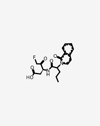 CCCC(C(=O)N[C@@H](CC(=O)O)C(=O)CF)n1ccc2ccccc2c1=O